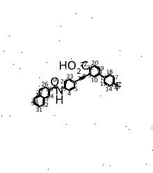 O=C(Nc1ccc(C#Cc2cc(-c3ccc(F)cc3)ccc2C(=O)O)cc1)c1ccc2ccccc2c1